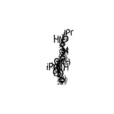 CC(C)CC(=O)Nc1ccc(-c2ncc(-c3ccc(NC(=O)[C@@H](NC(=O)OCc4ccccc4)C(C)C)cc3)o2)cc1